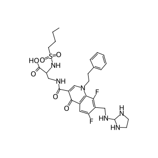 CCCCS(=O)(=O)NC(CNC(=O)c1cn(CCc2ccccc2)c2c(F)c(CNC3NCCN3)c(F)cc2c1=O)C(=O)O